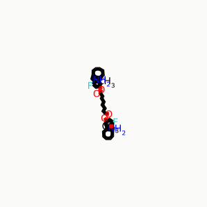 CC12CCCCCC(Cc3c(F)cc(OC(=O)CCCCCCC(=O)Oc4cc(F)c5c(c4)C4(C)CCCCCC(C5)C4N)cc31)C2N